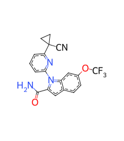 N#CC1(c2cccc(-n3c(C(N)=O)cc4ccc(OC(F)(F)F)cc43)n2)CC1